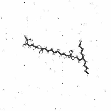 CCCCCC(CCCCC)CCOC(=O)CCCCCCCCC(=O)OCCCN(C)C(C)C